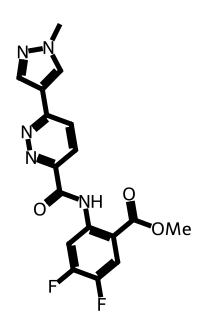 COC(=O)c1cc(F)c(F)cc1NC(=O)c1ccc(-c2cnn(C)c2)nn1